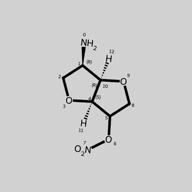 N[C@@H]1CO[C@@H]2C(O[N+](=O)[O-])CO[C@H]12